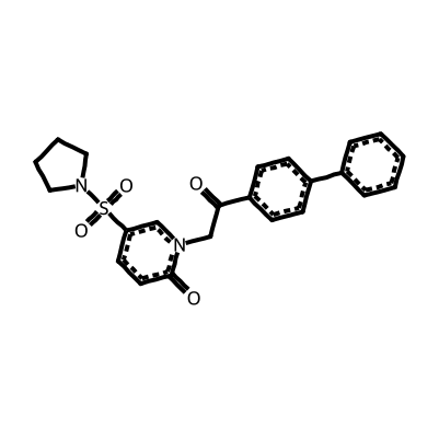 O=C(Cn1cc(S(=O)(=O)N2CCCC2)ccc1=O)c1ccc(-c2ccccc2)cc1